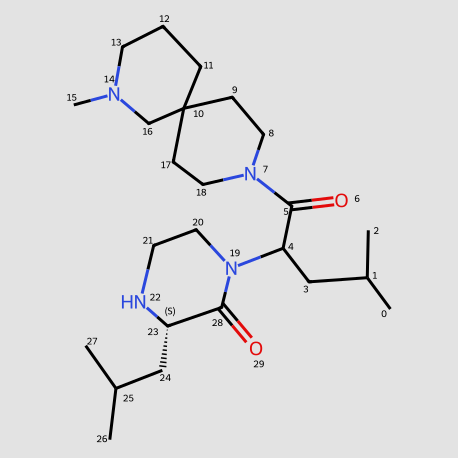 CC(C)CC(C(=O)N1CCC2(CCCN(C)C2)CC1)N1CCN[C@@H](CC(C)C)C1=O